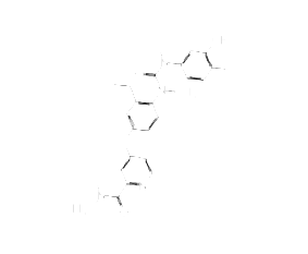 CN(C)C(=O)c1cc(Oc2ccc(N(C)C(=O)N(C)c3ccc(Cl)c(C(F)(F)F)c3)c(CI)c2)ccn1